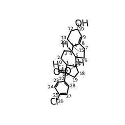 C[C@]12CC[C@H]3[C@@H](CCC4=C[C@@H](O)CC[C@@]43C)[C@@]1(O)CC[C@]2(O)c1ccc(Cl)cc1